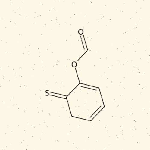 O=[C]OC1=CC=CCC1=S